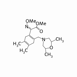 CO/N=C(\C(=O)OC)C1=C(CN2CC(C)OC(C)C2)CC(C)=C(C)C1